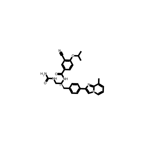 Cc1cccn2cc(-c3ccc(C[C@@H](CNC(N)=O)NC(=O)c4ccc(OC(C)C)c(C#N)c4)cc3)nc12